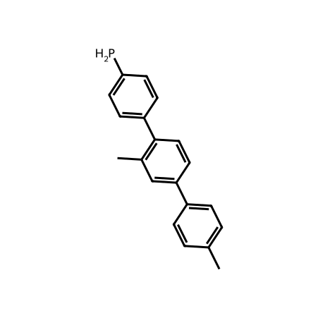 Cc1ccc(-c2ccc(-c3ccc(P)cc3)c(C)c2)cc1